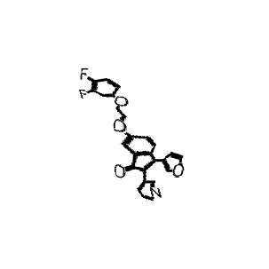 O=C1C(c2cccnc2)=C(c2ccoc2)c2ccc(OCCOc3ccc(F)c(F)c3)cc21